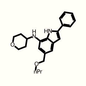 CCCOCc1cc(NC2CCOCC2)c2[nH]c(-c3ccccc3)cc2c1